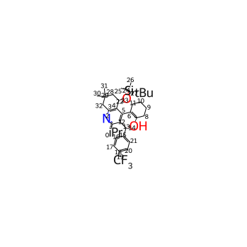 CC(C)c1nc2c(c(C3=CCCCC3)c1[C@H](O)c1ccc(C(F)(F)F)cc1)[C@@H](O[Si](C)(C)C(C)(C)C)CC(C)(C)C2